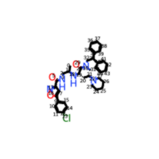 CC(CNC(=O)c1cc(-c2ccc(Cl)cc2)on1)N[C@@H](CCN1CCCCC1)C(=O)N(C)CC(c1ccccc1)c1ccccc1